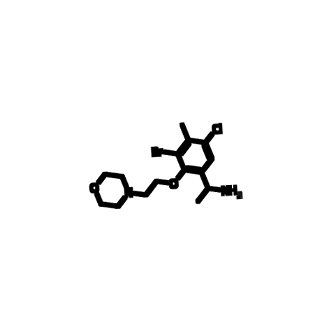 Cc1c(Cl)cc(C(C)N)c(OCCN2CCOCC2)c1Br